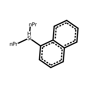 CCC[SiH](CCC)c1cccc2ccccc12